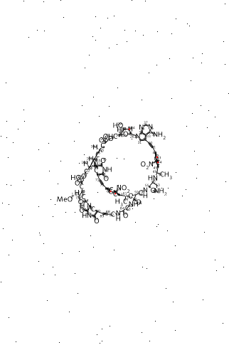 COC[C@H]1O[C@@H]2C[C@@H]1CP(=O)(O)OC[C@H]1O[C@@H]3C[C@@H]1CP(=O)(O)OC[C@H]1O[C@H](C[C@@H]1O)n1cc(c4c(N)ncnc41)C#Cc1ccc(c([N+](=O)[O-])c1)C(C)NC(CN)C(=O)NCC(OC(C)c1ccc(cc1[N+](=O)[O-])C#Cc1cn3c(=O)[nH]c1=O)C(=O)NCC(=O)NCC#Cc1cn2c(=O)[nH]c1=O